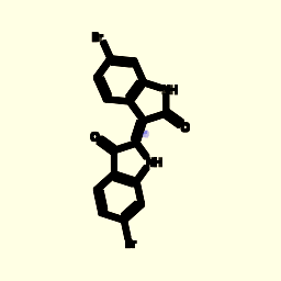 O=C1Nc2cc(Br)ccc2/C1=C1/Nc2cc(Br)ccc2C1=O